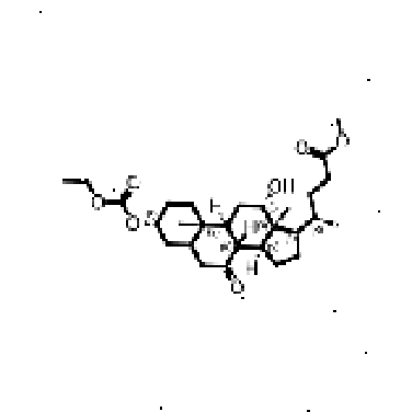 CCOC(=O)O[C@@H]1CC[C@@]2(C)C(CC(=O)[C@H]3[C@@H]4CC[C@H]([C@H](C)CCC(=O)OC)[C@@]4(C)[C@@H](O)C[C@@H]32)C1